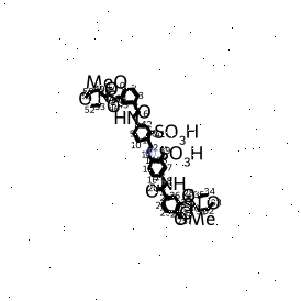 COc1ccc(C(=O)Nc2ccc(/C=C/c3ccc(NC(=O)c4ccc(OC)c(S(=O)(=O)N5CCOCC5)c4)cc3S(=O)(=O)O)c(S(=O)(=O)O)c2)cc1S(=O)(=O)N1CCOCC1